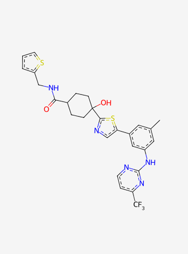 Cc1cc(Nc2nccc(C(F)(F)F)n2)cc(-c2cnc(C3(O)CCC(C(=O)NCc4cccs4)CC3)s2)c1